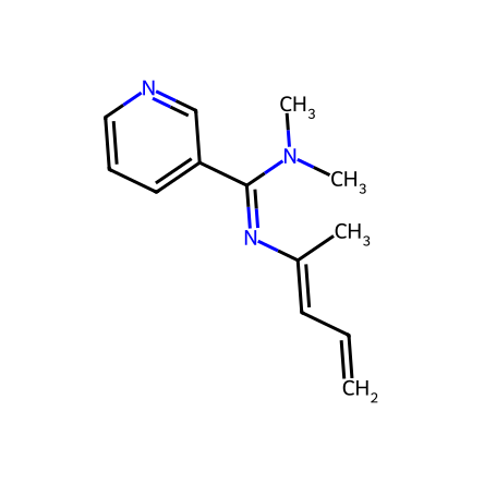 C=C/C=C(C)/N=C(/c1cccnc1)N(C)C